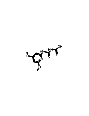 COc1cc(NC(=S)NC(=O)O)nc(OC)c1